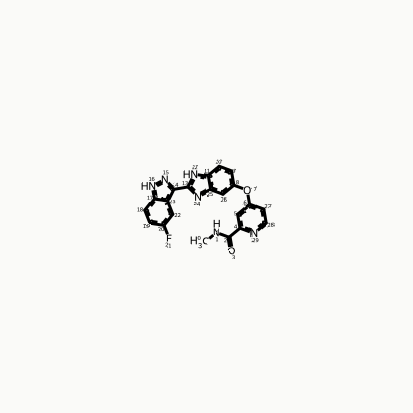 CNC(=O)c1cc(Oc2ccc3[nH]c(-c4n[nH]c5ccc(F)cc45)nc3c2)ccn1